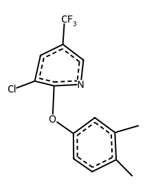 Cc1ccc(Oc2ncc(C(F)(F)F)cc2Cl)cc1C